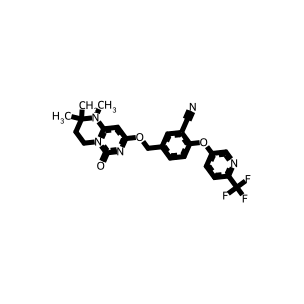 CN1c2cc(OCc3ccc(Oc4ccc(C(F)(F)F)nc4)c(C#N)c3)nc(=O)n2CCC1(C)C